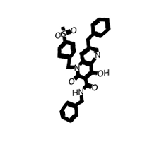 CS(=O)(=O)c1ccc(Cn2c(=O)c(C(=O)NCc3ccccc3)c(O)c3ncc(Cc4ccccc4)cc32)cc1